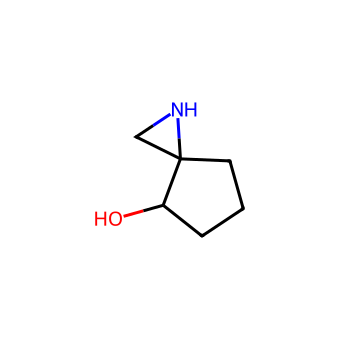 OC1CCCC12CN2